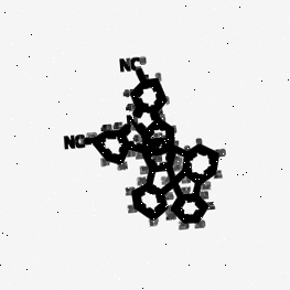 N#Cc1ccc2c3cc(-c4cccc5c4C4(c6ccccc6-c6ccccc64)c4ccccc4-5)cc4c5ccc(C#N)cc5n(c2c1)c34